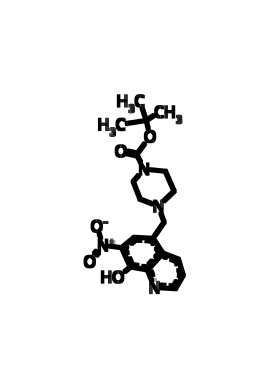 CC(C)(C)OC(=O)N1CCN(Cc2cc([N+](=O)[O-])c(O)c3ncccc23)CC1